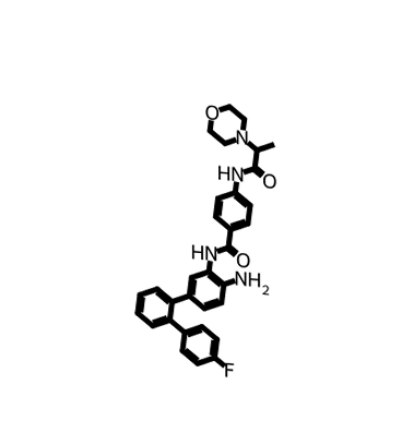 CC(C(=O)Nc1ccc(C(=O)Nc2cc(-c3ccccc3-c3ccc(F)cc3)ccc2N)cc1)N1CCOCC1